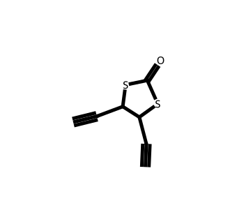 C#CC1SC(=O)SC1C#C